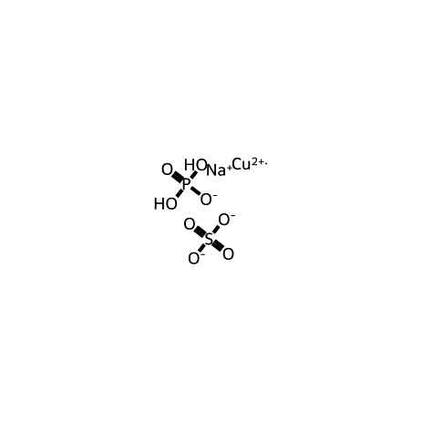 O=P([O-])(O)O.O=S(=O)([O-])[O-].[Cu+2].[Na+]